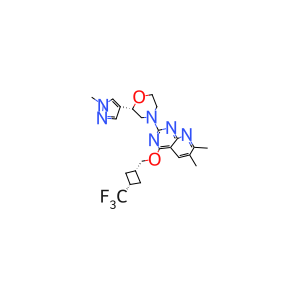 Cc1cc2c(OC[C@H]3C[C@@H](C(F)(F)F)C3)nc(N3CCO[C@@H](c4cnn(C)c4)C3)nc2nc1C